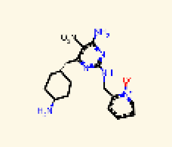 Nc1nc(NCc2cccc[n+]2[O-])nc(C[C@H]2CC[C@H](N)CC2)c1[N+](=O)[O-]